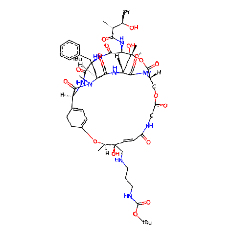 CC[C@H](C)[C@H]1NC(=O)[C@@H](NC(=O)[C@H](C)[C@H](O)C(C)C)[C@@H](C)OC(=O)[C@@H]2COC(=O)CNC(=O)/C=C/[C@](O)(CNCCCNC(=O)OC(C)(C)C)[C@@H](C)OC3=CC=C(CC3)[C@H](NC1=O)C(=O)N(C)[C@@H](Cc1ccccc1)C(=O)N[C@H]([C@@H](C)O)C(=O)N2